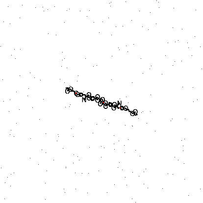 C=CC(=O)OCCCCOc1ccc(/C=C(\C#N)C(=O)Oc2ccc(C(=O)O[C@H]3COC4C3OC[C@H]4OC(=O)c3ccc(OC(=O)/C(C#N)=C/c4ccc(OCCCCOC(=O)C=C)cc4)cc3)cc2)cc1